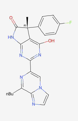 CCCCc1nc(-c2nc(O)c3c(n2)NC(=O)[C@]3(C)c2ccc(F)cc2)cn2ccnc12